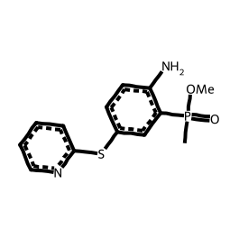 COP(C)(=O)c1cc(Sc2ccccn2)ccc1N